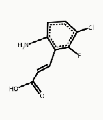 Nc1ccc(Cl)c(F)c1/C=C/C(=O)O